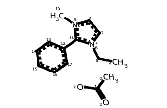 CC(=O)[O-].CC[n+]1ccn(C)c1-c1ccccc1